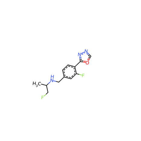 CC(CF)NCc1ccc(-c2nnco2)c(F)c1